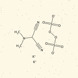 CN(C)C(C#N)C#N.O=S(=O)([O-])OOS(=O)(=O)[O-].[K+].[K+]